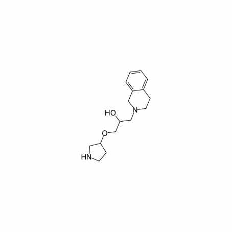 OC(COC1CCNC1)CN1CCc2ccccc2C1